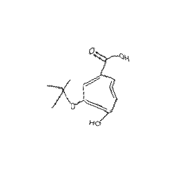 CC(C)(C)Oc1cc(C(=O)O)ccc1O